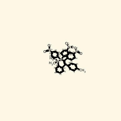 Cc1ccc(C2=C(c3ccc([N+](=O)[O-])cc3)[B-](c3ccc([N+](=O)[O-])cc3)(c3ccc([N+](=O)[O-])cc3)[N+](C)(C)c3ccccc32)cc1